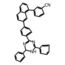 N#Cc1cccc(-c2cccc3ccc(-c4ccc(C5=NC(c6ccccc6)NC(c6ccccc6)=N5)cc4)cc23)c1